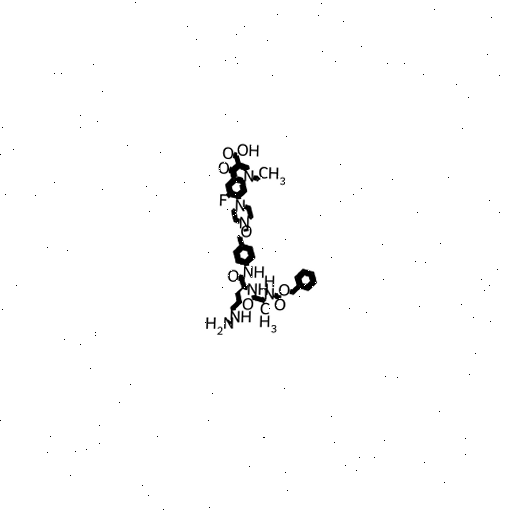 CCn1cc(C(=O)O)c(=O)c2cc(F)c(N3CCN(OCc4ccc(NC(=O)[C@H](CCCNN)NC(=O)[C@@H](C)NC(=O)OCc5ccccc5)cc4)CC3)cc21